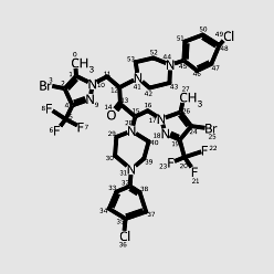 Cc1c(Br)c(C(F)(F)F)nn1CC(C(=O)C(Cn1nc(C(F)(F)F)c(Br)c1C)N1CCN(c2ccc(Cl)cc2)CC1)N1CCN(c2ccc(Cl)cc2)CC1